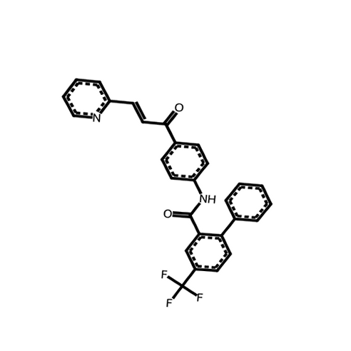 O=C(C=Cc1ccccn1)c1ccc(NC(=O)c2cc(C(F)(F)F)ccc2-c2ccccc2)cc1